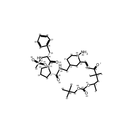 CC(CC(C)(C)C(=O)N=CC1CC(CNC(=O)[C@@H]2CCCN2C(=O)[C@@H](Cc2ccccc2)NS(C)(=O)=O)CCN1N)OC(=O)OCC(C)(C)C